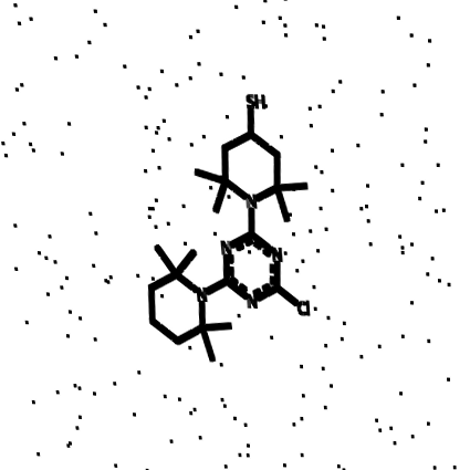 CC1(C)CCCC(C)(C)N1c1nc(Cl)nc(N2C(C)(C)CC(S)CC2(C)C)n1